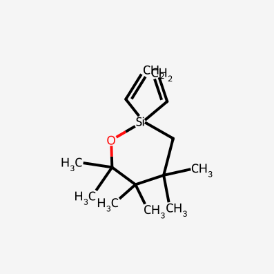 C=C[Si]1(C=C)CC(C)(C)C(C)(C)C(C)(C)O1